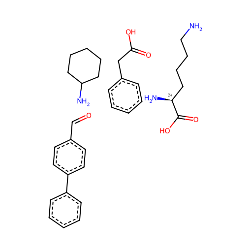 NC1CCCCC1.NCCCC[C@H](N)C(=O)O.O=C(O)Cc1ccccc1.O=Cc1ccc(-c2ccccc2)cc1